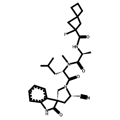 CC(C)C[C@@H](C(=O)N1C[C@]2(C[C@H]1C#N)C(=O)Nc1ccccc12)N(C)C(=O)[C@H](C)NC(=O)C1(F)CC2(CCC2)C1